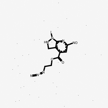 [N-]=[N+]=NCCOC(=O)c1cc(N=O)nc2c1CNN2I